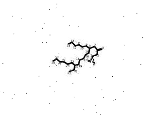 C=C(CCN(C)C)CC(CCCCCC)CCCCCC(CC)CCCCCC